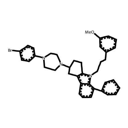 COc1cccc(CCCn2c3c(c4cccc(-c5ccccc5)c42)CC(N2CCN(c4ccc(Br)cc4)CC2)CC3)c1